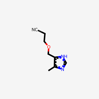 Cc1nc[nH]c1COCCC#N